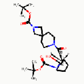 CC(C)(C)OC(=O)N1CC2(CCN(C(=O)[C@@H]3[C@@H]4CCC(C[C@H]4O)N3C(=O)OC(C)(C)C)CC2)C1